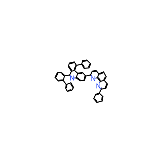 c1ccc(-c2ccc3ccc4ccc(-c5ccc6nc(-c7ccccc7-c7ccccc7)c7cccc(-c8ccccc8)c7c6c5)nc4c3n2)cc1